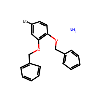 CCc1ccc(OCc2ccccc2)c(OCc2ccccc2)c1.N